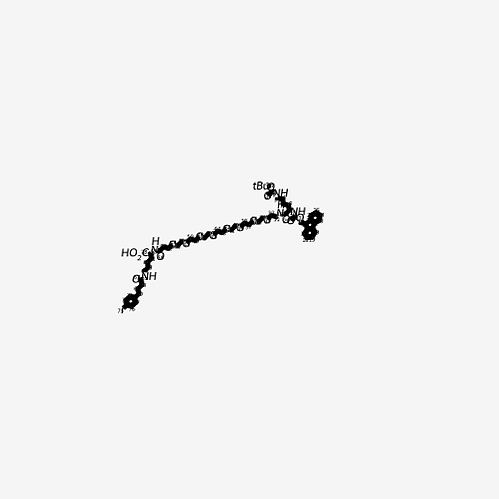 CC(C)(C)OC(=O)NCCCCC(NC(=O)OCC1c2ccccc2-c2ccccc21)C(=O)NCCOCCOCCOCCOCCOCCOCCOCCOCCC(=O)N[C@@H](CCCCNC(=O)CCCc1ccc(I)cc1)C(=O)O